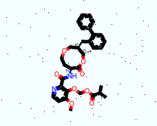 COc1ccnc(C(=O)N[C@H]2CCOC[C@@H](Cc3ccccc3-c3ccccc3)[C@H](C)OC2=O)c1OCOC(=O)C(C)C